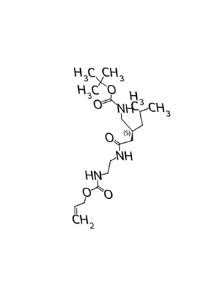 C=CCOC(=O)NCCNC(=O)C[C@@H](CNC(=O)OC(C)(C)C)CC(C)C